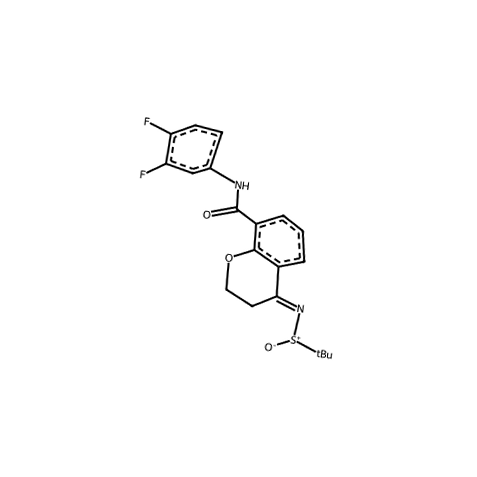 CC(C)(C)[S+]([O-])N=C1CCOc2c(C(=O)Nc3ccc(F)c(F)c3)cccc21